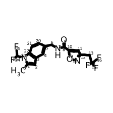 Cc1cc2cc(CNC(=O)c3cc(CC(F)(F)F)no3)ccc2n1C(F)F